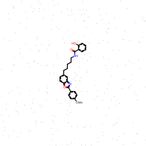 COc1ccc(-c2nc3cc(CCCCCNC(=O)c4ccccc4O)ccc3o2)cc1